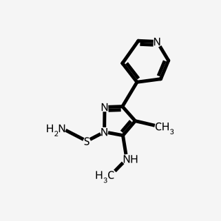 CNc1c(C)c(-c2ccncc2)nn1SN